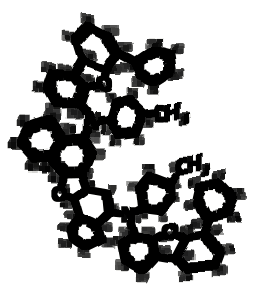 Cc1ccc(N(C2=CC3c4cc(N(c5ccc(C)cc5)c5cccc6c5OC5C(c7ccccc7)=CC=CC65)c5ccccc5c4OC3c3ccccc32)c2cccc3c2OC2C(c4ccccc4)=CC=CC32)cc1